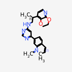 C=Nc1cc(-c2cc(NC[C@@H](C)c3ccnc4c3OCCO4)ncn2)ccc1/C=C\C